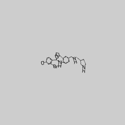 O=C(Nc1ccc(CNCC2CCNC2)cc1Cl)c1ccc(Cl)cc1Br